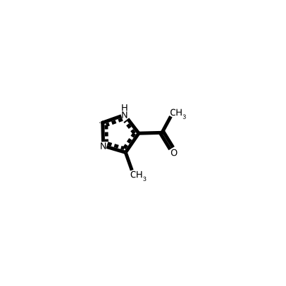 CC(=O)c1[nH][c]nc1C